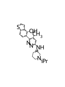 Cc1cc(N[C@@H]2CCCN(C(C)C)C2)nnc1-c1ccc2sccc2c1O